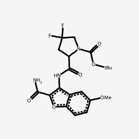 COc1ccc2oc(C(N)=O)c(NC(=O)C3CC(F)(F)CN3C(=O)OC(C)(C)C)c2c1